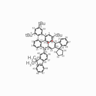 CC(C)(C)c1cc(-c2cc(C(C)(C)C)ccc2-c2ccccc2N(C2=CC3=C(CC2)c2ccccc2C32CCCC2)c2ccc3c(c2)C(C)(C)c2ccccc2-3)cc(C(C)(C)C)c1